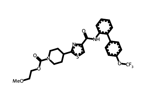 COCCOC(=O)N1CCC(c2nc(C(=O)Nc3ccccc3-c3ccc(OC(F)(F)F)cc3)cs2)CC1